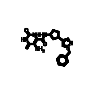 C=C1NC(=O)NC(C(=O)NC2CCC(c3cnn(Cc4ccccc4)c3)C2)=C1N